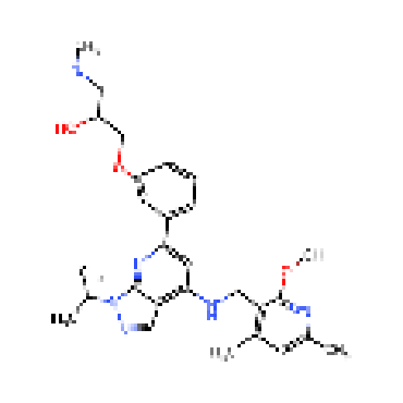 CNCC(O)COc1cccc(-c2cc(NCc3c(C)cc(C)nc3OC)c3cnn(C(C)C)c3n2)c1